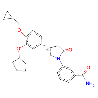 NC(=O)c1cccc(N2C[C@H](c3ccc(OCC4CC4)c(OC4CCCC4)c3)CC2=O)c1